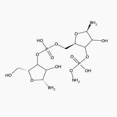 B[C@@H]1O[C@H](COP(=O)(O)OC2C(O)[C@H](B)O[C@@H]2CO)C(OP(=O)(O)ON)C1O